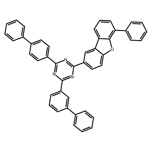 c1ccc(-c2ccc(-c3nc(-c4cccc(-c5ccccc5)c4)nc(-c4ccc5oc6c(-c7ccccc7)cccc6c5c4)n3)cc2)cc1